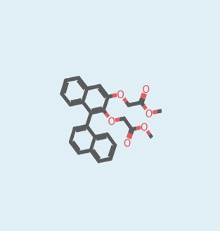 COC(=O)COc1cc2ccccc2c(-c2cccc3ccccc23)c1OCC(=O)OC